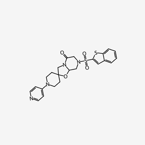 O=C1CN(S(=O)(=O)c2cc3ccccc3s2)CC2OC3(CCN(c4ccncc4)CC3)CN12